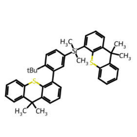 CC(C)(C)c1ccc([Si](C)(C)c2cccc3c2Sc2ccccc2C3(C)C)cc1-c1cccc2c1Sc1ccccc1C2(C)C